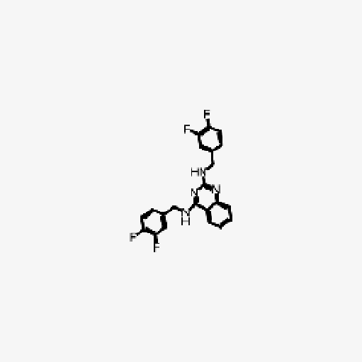 Fc1ccc(CNc2nc(NCc3ccc(F)c(F)c3)c3ccccc3n2)cc1F